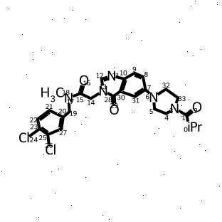 CC(C)C(=O)N1CCN(c2ccc3ncn(CC(=O)N(C)Cc4ccc(Cl)c(Cl)c4)c(=O)c3c2)CC1